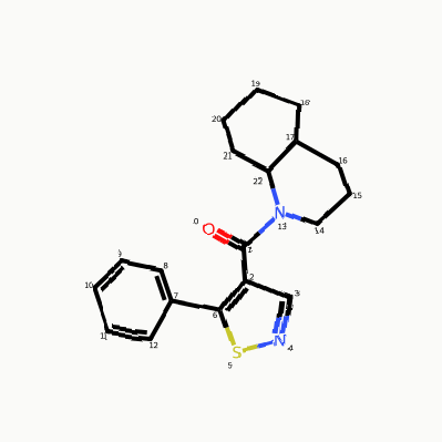 O=C(c1cnsc1-c1ccccc1)N1CCCC2CCCCC21